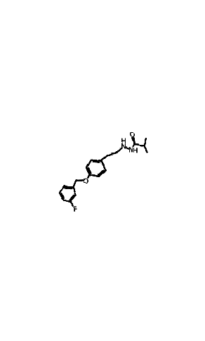 CC(C)C(=O)NNCCc1ccc(OCc2cccc(F)c2)cc1